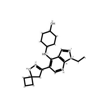 CCn1ncc2c(NC3CCC(O)CC3)c(C3=NOC4(CCC4)C3)cnc21